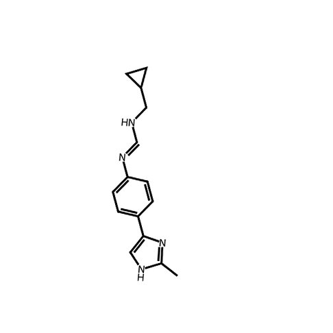 Cc1nc(-c2ccc(/N=C/NCC3CC3)cc2)c[nH]1